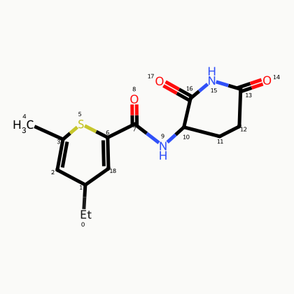 CCC1C=C(C)SC(C(=O)NC2CCC(=O)NC2=O)=C1